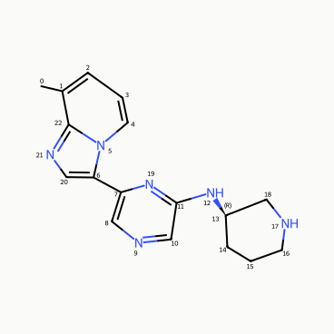 Cc1cccn2c(-c3cncc(N[C@@H]4CCCNC4)n3)cnc12